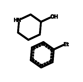 CCc1ccccc1.OC1CCCNC1